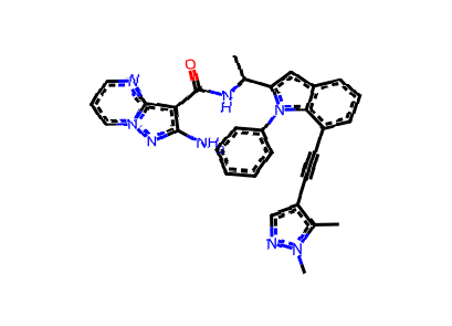 Cc1c(C#Cc2cccc3cc(C(C)NC(=O)c4c(N)nn5cccnc45)n(-c4ccccc4)c23)cnn1C